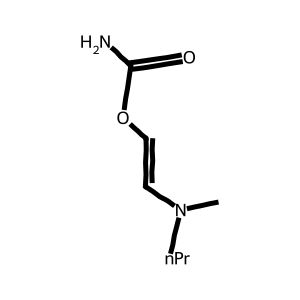 CCCN(C)/C=C/OC(N)=O